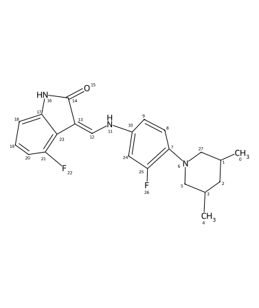 CC1CC(C)CN(c2ccc(NC=C3C(=O)Nc4cccc(F)c43)cc2F)C1